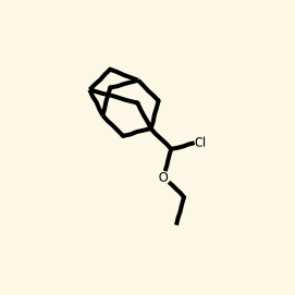 CCOC(Cl)C12CC3CC(C1)C(C3)C2